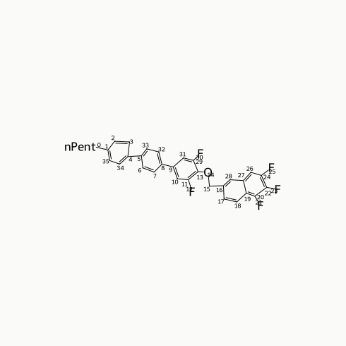 CCCCCc1ccc(-c2ccc(-c3cc(F)c(OCc4ccc5c(F)c(F)c(F)cc5c4)c(F)c3)cc2)cc1